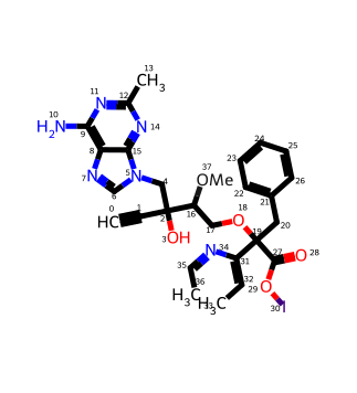 C#CC(O)(Cn1cnc2c(N)nc(C)nc21)C(COC(Cc1ccccc1)(C(=O)OI)C(=C/C)/N=C\C)OC